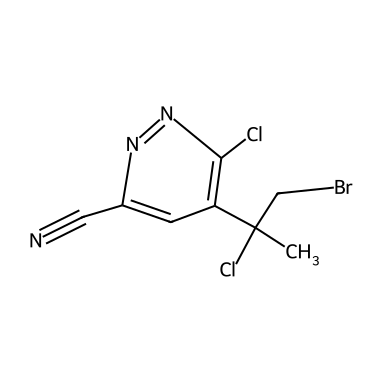 CC(Cl)(CBr)c1cc(C#N)nnc1Cl